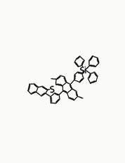 Cc1ccc2c(-c3cccc4c3sc3cc5ccccc5cc34)c3cc(C)ccc3c(-c3ccc([Si](c4ccccc4)(c4ccccc4)c4ccccc4)cc3)c2c1